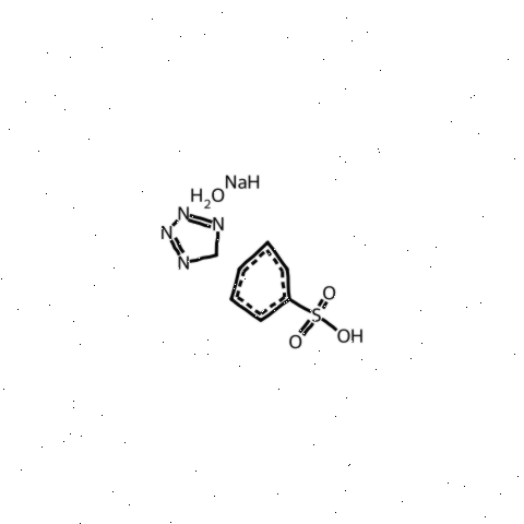 C1N=NN=N1.O.O=S(=O)(O)c1ccccc1.[NaH]